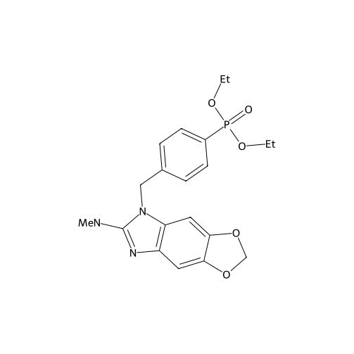 CCOP(=O)(OCC)c1ccc(Cn2c(NC)nc3cc4c(cc32)OCO4)cc1